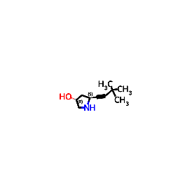 CC(C)(C)C#C[C@@H]1C[C@@H](O)CN1